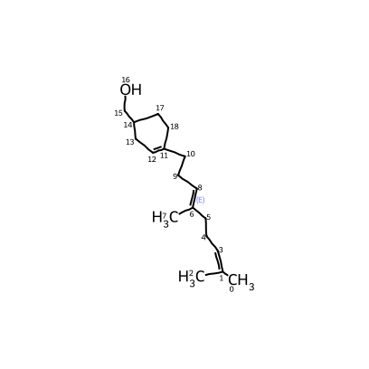 CC(C)=CCC/C(C)=C/CCC1=CCC(CO)CC1